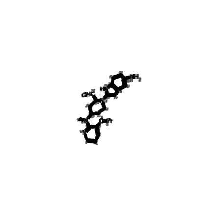 CC(C)Oc1cccnc1N(C)C1CCN(c2cc3cc(N)ccc3[nH]2)C(C=O)C1